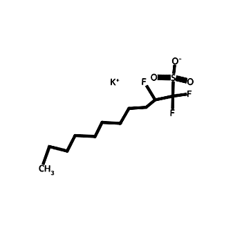 CCCCCCCCCC(F)C(F)(F)S(=O)(=O)[O-].[K+]